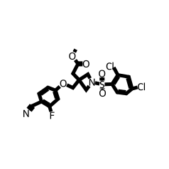 COC(=O)CC1(COc2ccc(C#N)c(F)c2)CN(S(=O)(=O)c2ccc(Cl)cc2Cl)C1